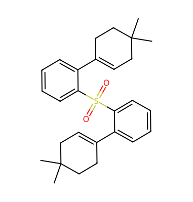 CC1(C)CC=C(c2ccccc2S(=O)(=O)c2ccccc2C2=CCC(C)(C)CC2)CC1